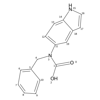 O=C(O)N(Cc1ccccc1)c1ccc2[nH]ccc2c1